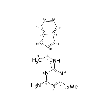 CSc1nc(N)nc(NC(C)c2cc3ccccc3o2)n1